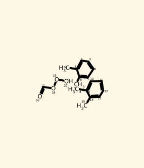 Cc1ccccc1C.Cc1ccccc1C.O=COOO